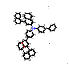 c1ccc(-c2ccc(N(c3ccc(-c4cccc(-c5cccc6cccc(-c7ccccc7)c56)c4)cc3)c3cc(-c4cccc5ccccc45)c4ccccc4c3)cc2)cc1